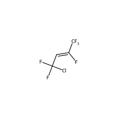 FC(=CC(F)(F)Cl)C(F)(F)F